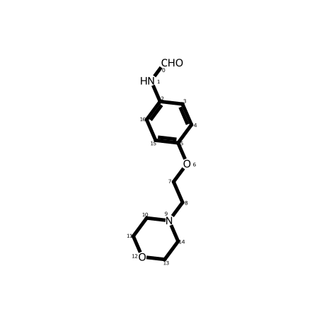 O=CNc1ccc(OCCN2CCOCC2)cc1